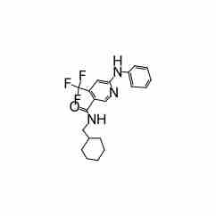 O=C(NCC1CCCCC1)c1cnc(Nc2ccccc2)cc1C(F)(F)F